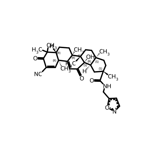 CC1(C)C(=O)C(C#N)=C[C@]2(C)C3=CC(=O)[C@]4(O)[C@@H]5C[C@@](C)(C(=O)NCc6ccno6)CC[C@]5(C)CC[C@@]4(C)[C@]3(C)CC[C@@H]12